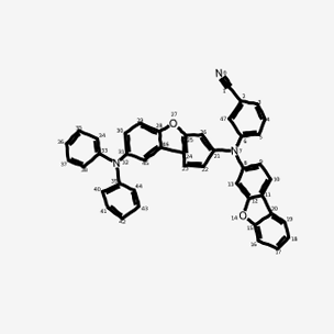 N#Cc1cccc(N(c2ccc3c(c2)oc2ccccc23)c2ccc3c(c2)oc2ccc(N(c4ccccc4)c4ccccc4)cc23)c1